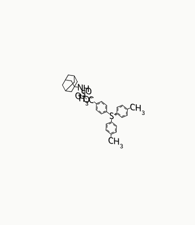 Cc1ccc([S+](c2ccc(C)cc2)c2ccc(C)cc2)cc1.O=S(=O)([O-])NC12CC3CC(CC(C3)C1)C2